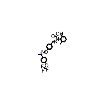 C/C(=N/Oc1ccc(/C=N/N(C(=O)O)c2c(C)cccc2C)cc1)c1ccc(OC(F)(F)F)cc1